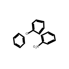 Clc1ccccc1.O=[N+]([O-])c1ccccc1.c1ccccc1